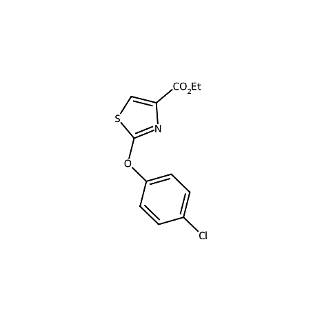 CCOC(=O)c1csc(Oc2ccc(Cl)cc2)n1